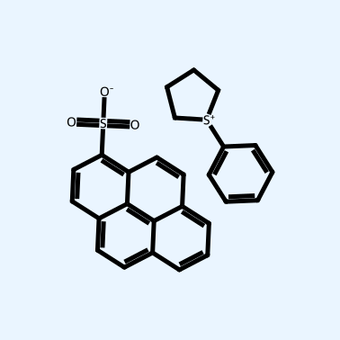 O=S(=O)([O-])c1ccc2ccc3cccc4ccc1c2c34.c1ccc([S+]2CCCC2)cc1